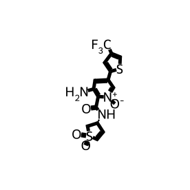 Nc1cc(-c2cc(C(F)(F)F)cs2)c[n+]([O-])c1C(=O)N[C@@H]1C=CS(=O)(=O)C1